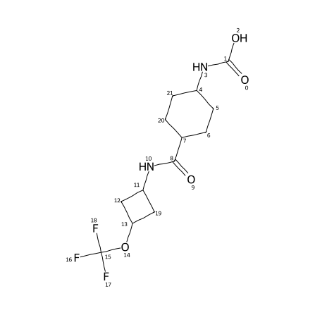 O=C(O)NC1CCC(C(=O)NC2CC(OC(F)(F)F)C2)CC1